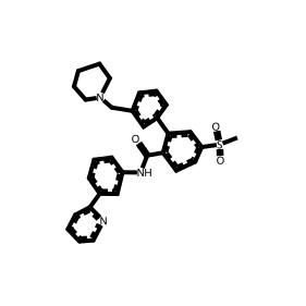 CS(=O)(=O)c1ccc(C(=O)Nc2cccc(-c3ccccn3)c2)c(-c2cccc(CN3CCCCC3)c2)c1